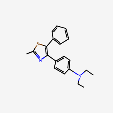 CCN(CC)c1ccc(-c2nc(C)sc2-c2ccccc2)cc1